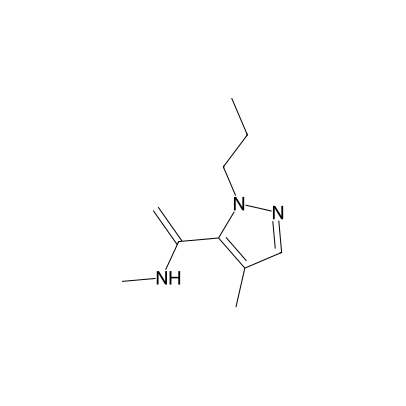 C=C(NC)c1c(C)cnn1CCC